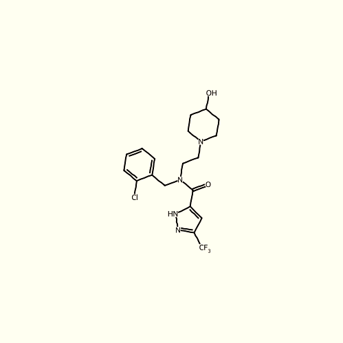 O=C(c1cc(C(F)(F)F)n[nH]1)N(CCN1CCC(O)CC1)Cc1ccccc1Cl